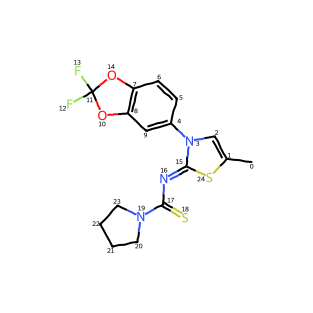 Cc1cn(-c2ccc3c(c2)OC(F)(F)O3)c(=NC(=S)N2CCCC2)s1